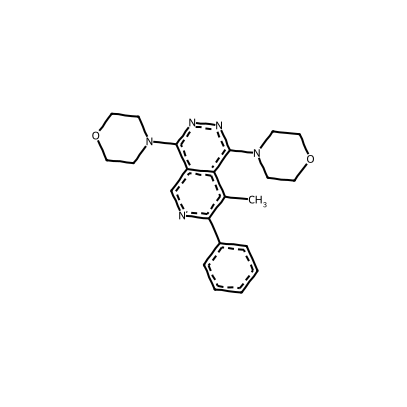 Cc1c(-c2ccccc2)ncc2c(N3CCOCC3)nnc(N3CCOCC3)c12